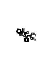 CC(C)CS1(OC(=O)NC2(S)CCCC2)C=CC=C1